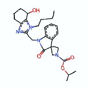 CCCCn1c(CN2C(=O)C3(CN(C(=O)OC(C)C)C3)c3ccccc32)nc2c1C(O)CCC2